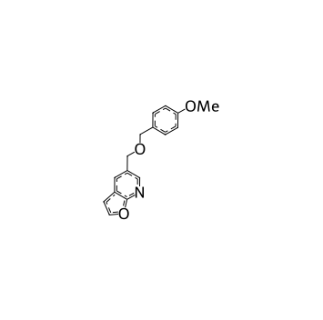 COc1ccc(COCc2cnc3occc3c2)cc1